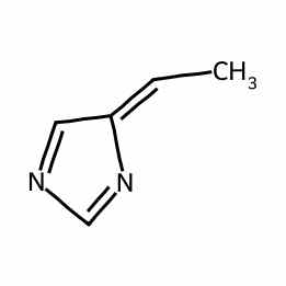 CC=C1C=NC=N1